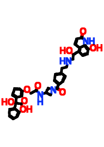 O=C(COc1cccc(C(O)(C(=O)O)c2ccccc2)c1)NC1CN(C(=O)c2ccc(CCNCC(O)c3ccc(O)c4[nH]c(=O)ccc34)cc2)C1